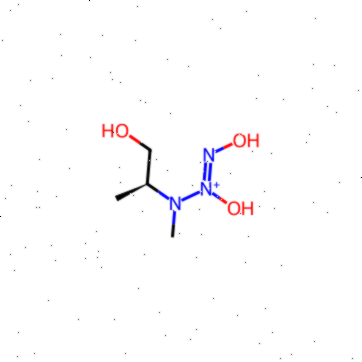 C[C@@H](CO)N(C)/[N+](O)=N/O